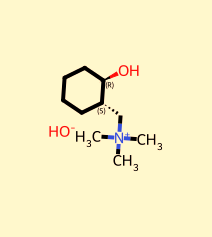 C[N+](C)(C)C[C@@H]1CCCC[C@H]1O.[OH-]